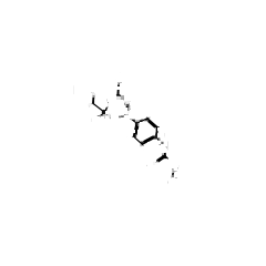 CCOB(OC(C)(C)CC)c1ccc(NC(=O)OC)cc1